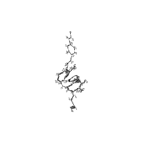 C=CCCc1cc2c(c(F)c1F)Oc1c(ccc(CCC3CCC(CCC)CC3)c1F)C2